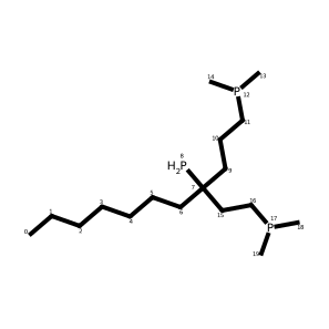 CCCCCCCC(P)(CCCP(C)C)CCP(C)C